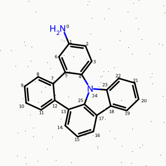 Nc1ccc2c(c1)-c1ccccc1-c1cccc3c4ccccc4n-2c13